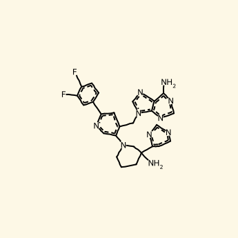 Nc1ncnc2c1ncn2Cc1cc(-c2ccc(F)c(F)c2)ncc1N1CCCC(N)(c2ccncn2)C1